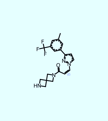 Cc1cc(-c2ccn(/C=C\C(=O)N3CC4(CNC4)C3)n2)cc(C(F)(F)F)c1